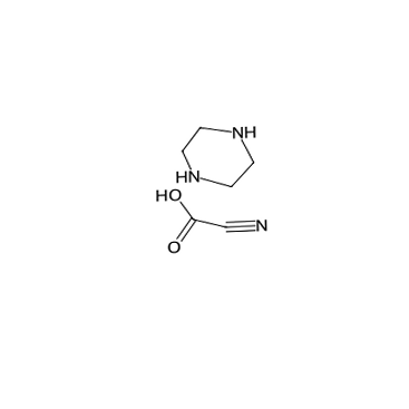 C1CNCCN1.N#CC(=O)O